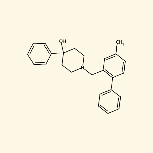 Cc1ccc(-c2ccccc2)c(CN2CCC(O)(c3ccccc3)CC2)c1